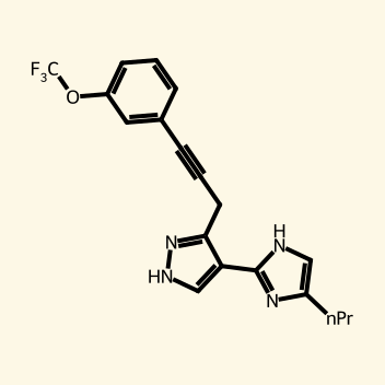 CCCc1c[nH]c(-c2c[nH]nc2CC#Cc2cccc(OC(F)(F)F)c2)n1